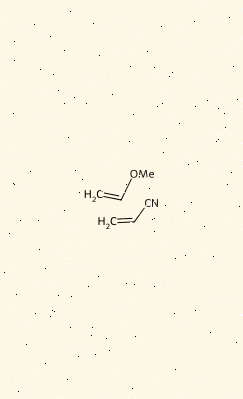 C=CC#N.C=COC